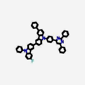 Fc1ccc2c(c1)c1cc(-c3ccc4c(c3)c3cc(-c5ccccc5)ccc3n4-c3ccc(-c4cc(-c5ccccc5)nc(-c5ccccc5)n4)cc3)ccc1n2-c1ccccc1